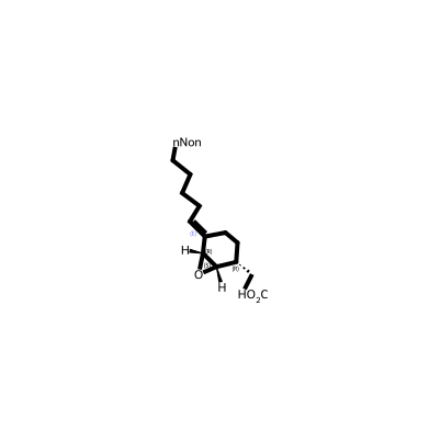 CCCCCCCCCCCCC/C=C1\CC[C@H](CC(=O)O)[C@@H]2O[C@H]12